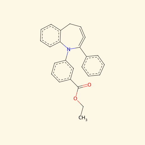 CCOC(=O)c1cccc(N2C(c3ccccc3)=C=CCc3ccccc32)c1